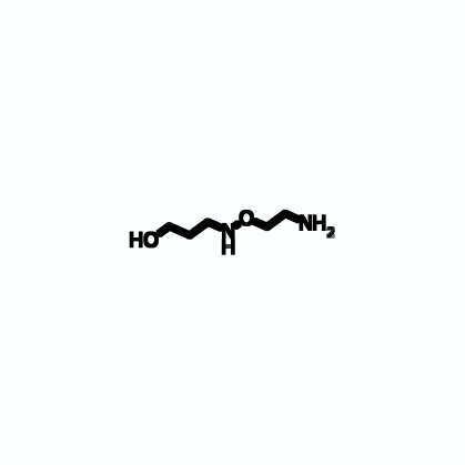 NCCONCCCO